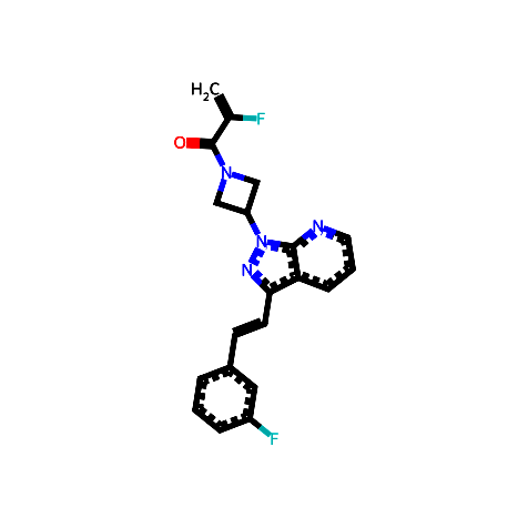 C=C(F)C(=O)N1CC(n2nc(/C=C/c3cccc(F)c3)c3cccnc32)C1